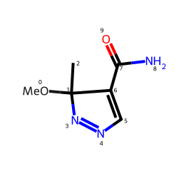 COC1(C)N=NC=C1C(N)=O